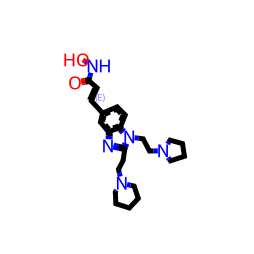 O=C(/C=C/c1ccc2c(c1)nc(CCN1CCCCC1)n2CCN1CCCC1)NO